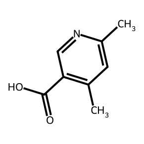 Cc1cc(C)c(C(=O)O)cn1